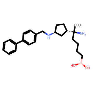 NC(CCCCB(O)O)(C(=O)O)[C@H]1CC[C@H](NCc2ccc(-c3ccccc3)cc2)C1